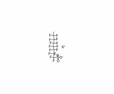 CC(F)(F)C(F)(F)C(F)(F)C(F)(F)C(F)(F)C(F)(F)C(F)(F)S(=O)(=O)[O-].[K+]